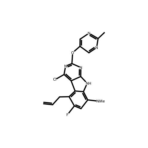 C=CCc1c(F)cc(NC)c2[nH]c3nc(Oc4cnc(C)nc4)nc(Cl)c3c12